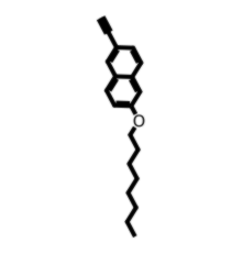 C#Cc1ccc2cc(OCCCCCCCC)ccc2c1